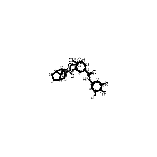 O=C(Nc1cc(F)c(F)c(F)c1)c1ccc(Cl)c(S(=O)(=O)C2CC3CCC(C2)C3(O)COCCO)c1